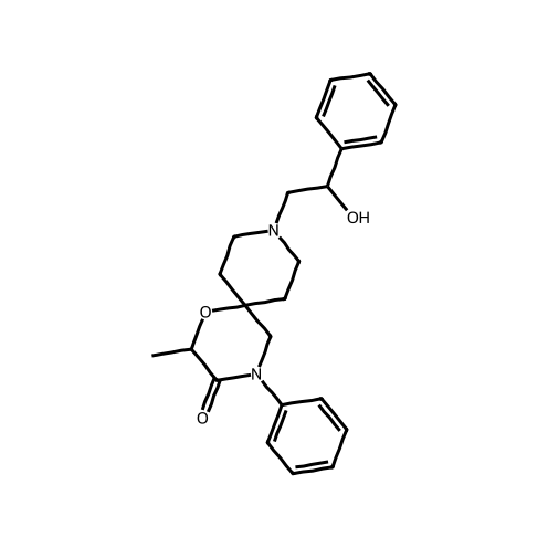 CC1OC2(CCN(CC(O)c3ccccc3)CC2)CN(c2ccccc2)C1=O